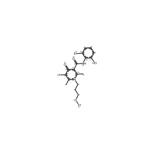 CCOCCCn1c(C)c(F)c(=O)c(C(=O)Nc2c(CC)cccc2CC)c1C